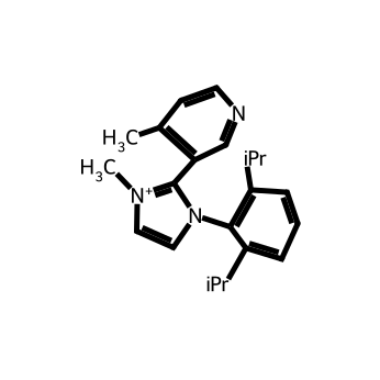 Cc1ccncc1-c1n(-c2c(C(C)C)cccc2C(C)C)cc[n+]1C